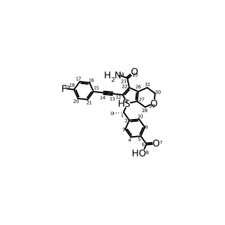 C[C@@H](c1ccc(C(=O)O)cc1)[SH]1C(C#Cc2ccc(F)cc2)=C(C(N)=O)C2=C1COCC2